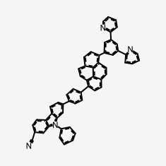 N#Cc1ccc2c3ccc(-c4ccc(-c5ccc6ccc7c(-c8cc(-c9ccccn9)cc(-c9ccccn9)c8)ccc8ccc5c6c87)cc4)cc3n(-c3ccccc3)c2c1